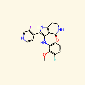 COc1c(F)cccc1Nc1c(-c2ccncc2I)[nH]c2c1C(=O)NCC2